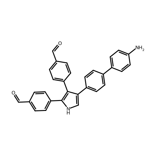 Nc1ccc(-c2ccc(-c3c[nH]c(-c4ccc(C=O)cc4)c3-c3ccc(C=O)cc3)cc2)cc1